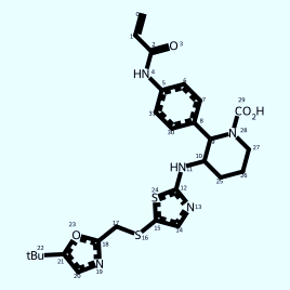 C=CC(=O)Nc1ccc(C2C(Nc3ncc(SCc4ncc(C(C)(C)C)o4)s3)CCCN2C(=O)O)cc1